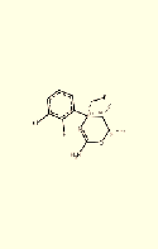 C[C@@H]1OC(N)=N[C@@](CF)(c2cccc(Cl)c2F)[C@@H]1C